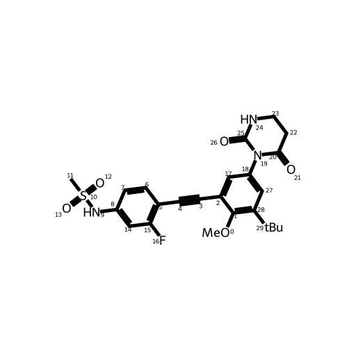 COc1c(C#Cc2ccc(NS(C)(=O)=O)cc2F)cc(N2C(=O)CCNC2=O)cc1C(C)(C)C